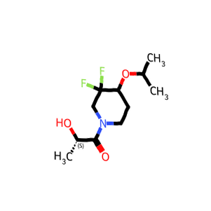 CC(C)OC1CCN(C(=O)[C@H](C)O)CC1(F)F